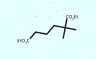 CCOC(=O)CCCC(C)(C)C(=O)OCC